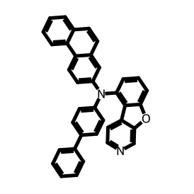 c1ccc(-c2ccc(N(c3ccc4c(ccc5ccccc54)c3)c3cccc4oc5cnccc5c34)cc2)cc1